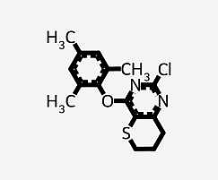 Cc1cc(C)c(Oc2nc(Cl)nc3c2SCCC3)c(C)c1